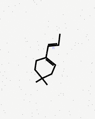 C/C=C/C1=CCC(C)(C)CC1